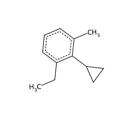 CCc1cccc(C)c1C1CC1